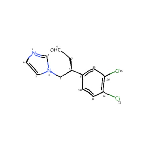 O=CC[C@H](Cn1ccnc1)c1ccc(Cl)c(Cl)c1